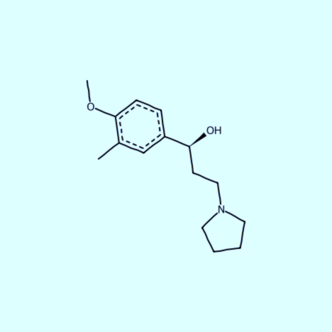 COc1ccc([C@@H](O)CCN2CCCC2)cc1C